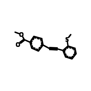 COC(=O)c1ccc(C#Cc2ccccc2SC)cc1